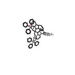 C1=CC2C(C=C1)C(C(CCCO[Si](c1ccccc1)(c1ccccc1)c1ccccc1)(CO[Si](c1ccccc1)(c1ccccc1)c1ccccc1)C1C3C=CC=CC3C3CCCCC31)C1CCCCC21.[Cl-].[Cl-].[Zr+2]